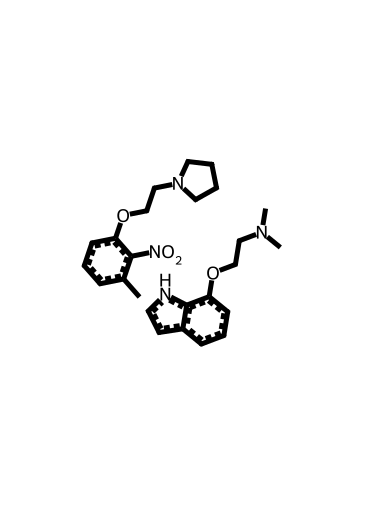 CN(C)CCOc1cccc2cc[nH]c12.Cc1cccc(OCCN2CCCC2)c1[N+](=O)[O-]